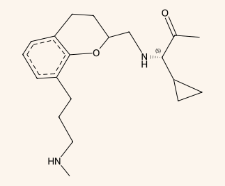 CNCCCc1cccc2c1OC(CN[C@H](C(C)=O)C1CC1)CC2